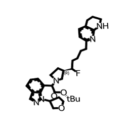 CC(C)(C)OC(=O)C(c1cccc2cnn(C3CCOC3)c12)N1CC[C@@H](C(F)CCCCc2ccc3c(n2)NCCC3)C1